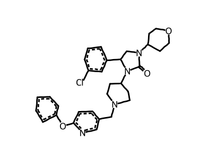 O=C1N(C2CCOCC2)CC(c2cccc(Cl)c2)N1C1CCN(Cc2ccc(Oc3ccccc3)nc2)CC1